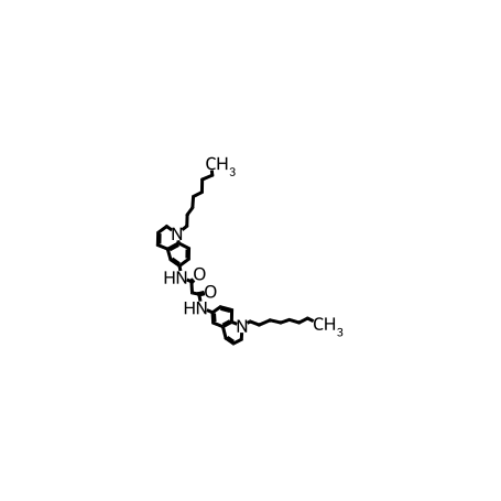 CCCCCCCCN1CC=Cc2cc(NC(=O)CC(=O)Nc3ccc4c(c3)C=CCN4CCCCCCCC)ccc21